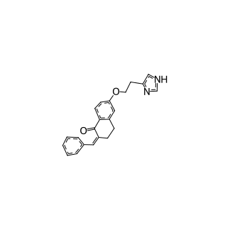 O=C1C(=Cc2ccccc2)CCc2cc(OCCc3c[nH]cn3)ccc21